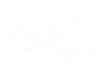 c1ccc(-c2cccc(N(c3ccc(-c4ccc5oc6c7ccccc7ccc6c5c4)cc3)c3ccc(-c4cccc5c4oc4ccccc45)cc3)c2)cc1